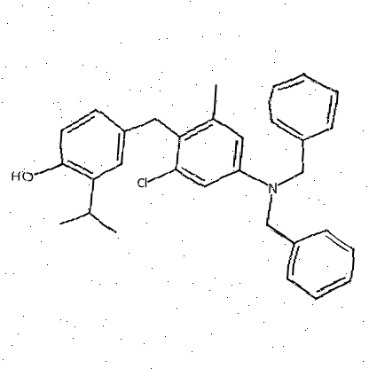 Cc1cc(N(Cc2ccccc2)Cc2ccccc2)cc(Cl)c1Cc1ccc(O)c(C(C)C)c1